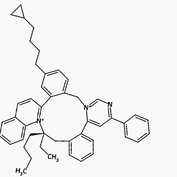 CCCC[C@]1(CC)Cc2ccccc2-c2cc(-c3ccccc3)nc[n+]2Cc2ccc(CCCCC3CC3)cc2-c2ccc3ccccc3[n+]21